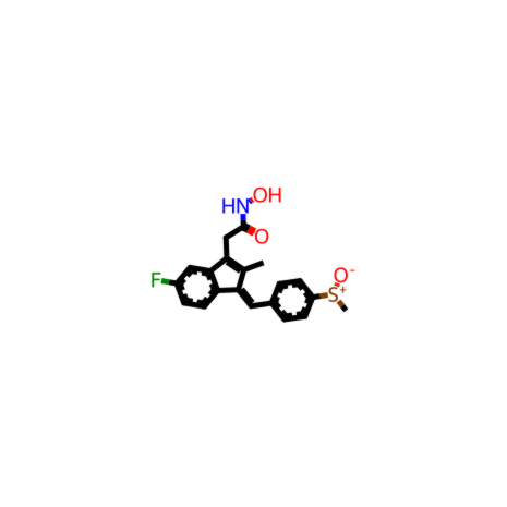 CC1=C(CC(=O)NO)c2cc(F)ccc2C1=Cc1ccc([S+](C)[O-])cc1